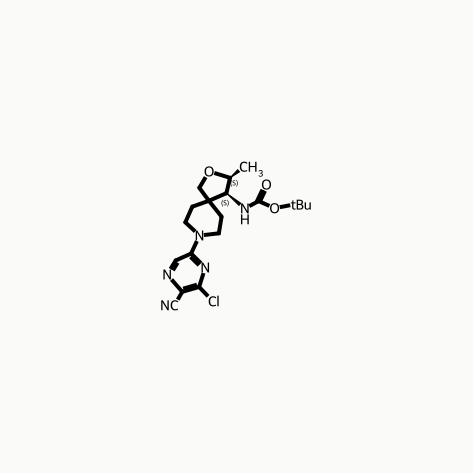 C[C@@H]1OCC2(CCN(c3cnc(C#N)c(Cl)n3)CC2)[C@@H]1NC(=O)OC(C)(C)C